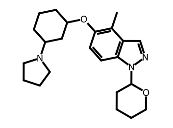 Cc1c(OC2CCCC(N3CCCC3)C2)ccc2c1cnn2C1CCCCO1